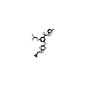 Cn1ccc(NC(=O)c2cc(OCC(F)F)cc(Oc3cnc(NCC4CC4)cn3)c2)n1